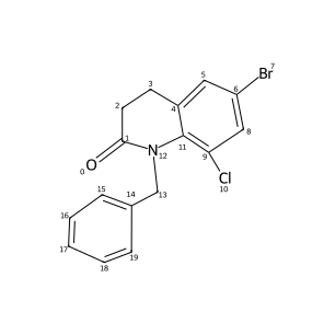 O=C1CCc2cc(Br)cc(Cl)c2N1Cc1ccccc1